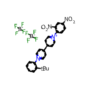 CC(C)(C)c1ccccc1-[n+]1ccc(-c2cc[n+](-c3ccc([N+](=O)[O-])cc3[N+](=O)[O-])cc2)cc1.F[B-](F)(F)F.F[B-](F)(F)F